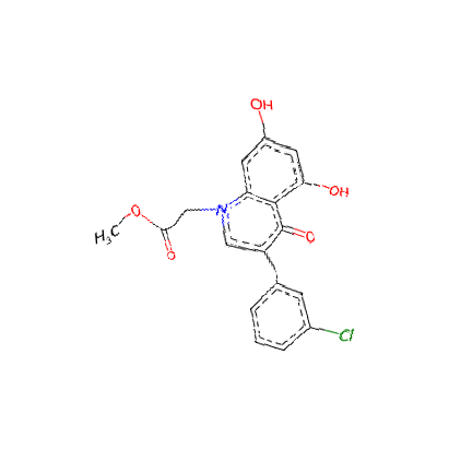 COC(=O)Cn1cc(-c2cccc(Cl)c2)c(=O)c2c(O)cc(O)cc21